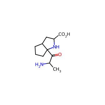 CC(N)C(=O)C12CCCC1CC(C(=O)O)N2